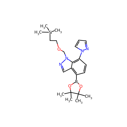 CC1(C)OB(c2ccc(-n3cccn3)c3c2cnn3COCC[Si](C)(C)C)OC1(C)C